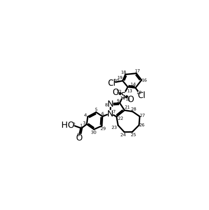 O=C(O)c1ccc(-n2nc(S(=O)(=O)c3c(Cl)cccc3Cl)c3c2CCCCCC3)cc1